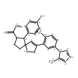 COC(=O)C1CCC2(C=C(c3cc(-n4nnnc4C(F)(F)F)ccc3C)CO2)C1c1ccc(F)cc1